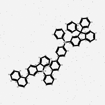 c1ccc(N(c2ccc(-c3ccc(-c4ccccc4-n4c5ccccc5c5ccc(-c6cccc7ccccc67)cc54)cc3)cc2)c2ccc3c(c2)C(c2ccccc2)(c2ccccc2)c2ccccc2-3)cc1